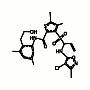 C=CC(Nc1onc(C)c1Cl)S(=O)(=O)c1c(C(=O)Nc2cc(C)cc(C)c2CCO)sc(C)c1C